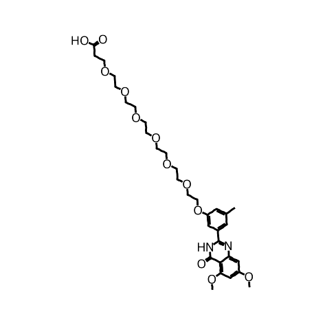 COc1cc(OC)c2c(=O)[nH]c(-c3cc(C)cc(OCCOCCOCCOCCOCCOCCOCCC(=O)O)c3)nc2c1